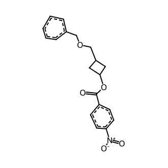 O=C(OC1CC(COCc2ccccc2)C1)c1ccc([N+](=O)[O-])cc1